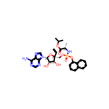 C=C[C@]1(COP(=O)(N[C@@H](C)C(=O)OC(C)C)Oc2cccc3ccccc23)O[C@@H](n2cnc3c(N)ncnc32)[C@H](O)[C@@H]1O